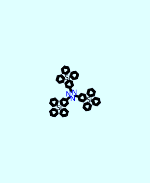 c1ccc([Si](c2ccccc2)(c2ccccc2)c2ccc(-c3nc(-c4ccc([Si](c5ccccc5)(c5ccccc5)c5ccccc5)cc4)nc(-c4ccc([Si](c5ccccc5)(c5ccccc5)c5ccccc5)cc4)n3)cc2)cc1